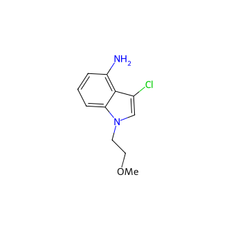 COCCn1cc(Cl)c2c(N)cccc21